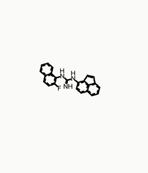 N=C(Nc1ccc2cccc3c2c1C=C3)Nc1c(F)ccc2ccccc12